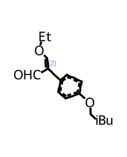 CCO/C=C(\C=O)c1ccc(OCC(C)CC)cc1